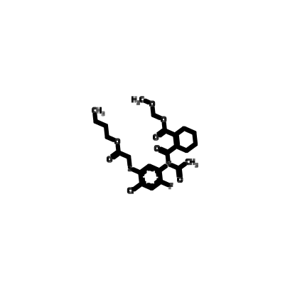 CCCCOC(=O)CSc1cc(N(C(C)=O)C(=O)C2=C(C(=O)OCOC)CCCC2)c(F)cc1Cl